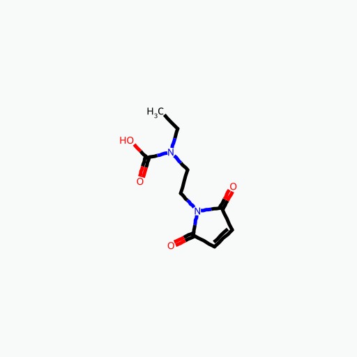 CCN(CCN1C(=O)C=CC1=O)C(=O)O